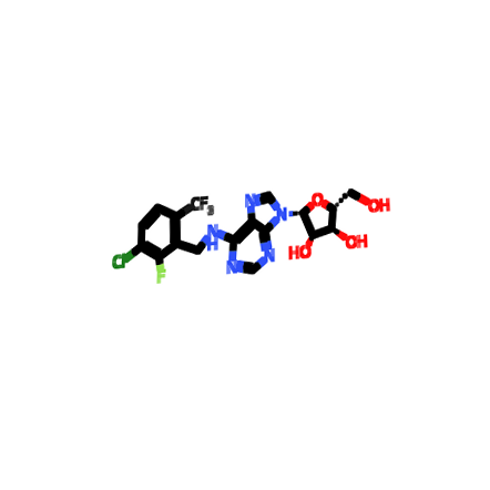 OC[C@H]1O[C@@H](n2cnc3c(NCc4c(C(F)(F)F)ccc(Cl)c4F)ncnc32)[C@H](O)[C@@H]1O